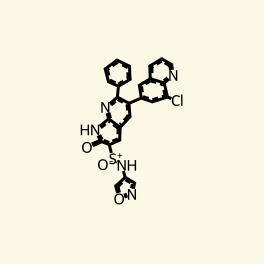 O=c1[nH]c2nc(-c3ccccc3)c(-c3cc(Cl)c4ncccc4c3)cc2cc1[S+]([O-])Nc1cnoc1